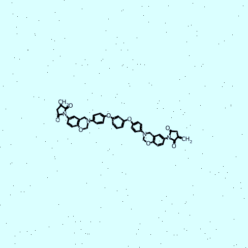 C=C1CC(=O)N(c2ccc3c(c2)CN(c2ccc(Oc4cccc(Oc5ccc(N6COc7ccc(N8C(=O)CC(=C)C8=O)cc7C6)cc5)c4)cc2)CO3)C1=O